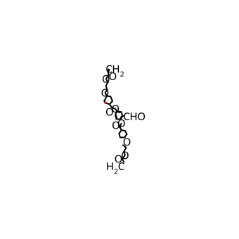 C=CC(=O)OCCCOC1CCC(C(=O)Oc2ccc(OC(=O)C3CCC(OCCCOC(=O)C=C)CC3)c(C=O)c2)CC1